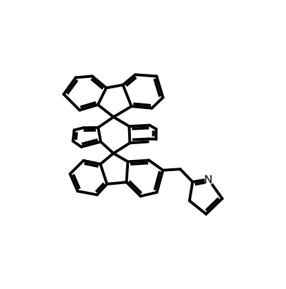 C1=CN=C(Cc2ccc3c(c2)C2(c4ccccc4-3)c3ccccc3C3(c4ccccc4-c4ccccc43)c3ccccc32)C1